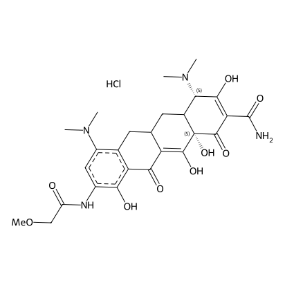 COCC(=O)Nc1cc(N(C)C)c2c(c1O)C(=O)C1=C(O)[C@]3(O)C(=O)C(C(N)=O)=C(O)[C@@H](N(C)C)C3CC1C2.Cl